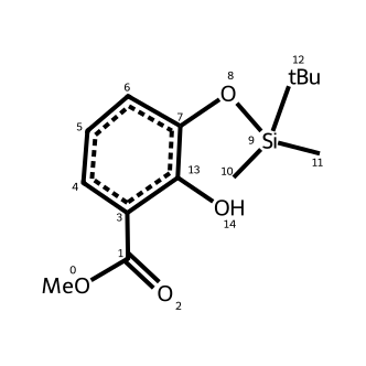 COC(=O)c1cccc(O[Si](C)(C)C(C)(C)C)c1O